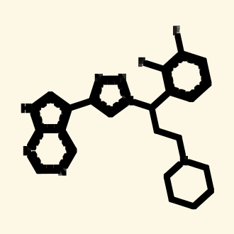 Fc1cccc(C(CCN2CCCCC2)n2cc(-c3c[nH]c4ncncc34)nn2)c1F